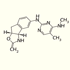 C=C1N[C@H]2c3cc(Nc4ncc(C)c(NC)n4)ccc3C[C@H]2O1